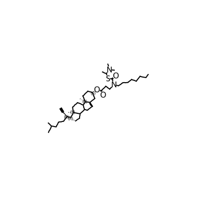 C#C[C@H](CCCC(C)C)[C@H]1CCC2C3CC=C4C[C@@H](OC(=O)CCN(CCCCCCCC)C(=O)SC(C)N(C)C)CC[C@]4(C)C3CC[C@@]21C